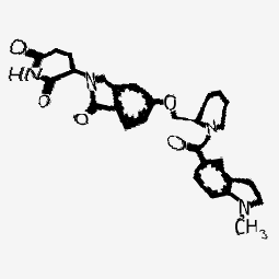 CN1CCc2cc(C(=O)N3CCCC[C@@H]3COc3ccc4c(c3)CN(C3CCC(=O)NC3=O)C4=O)ccc21